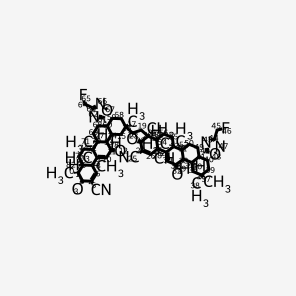 C[C@@H]1C(=O)C(C#N)=C[C@]2(C)C3=CC(=O)[C@@H]4[C@@H]5CC(C)(CCC6(C)C(=O)C(C#N)=C[C@]7(C)C8=CC(=O)[C@@H]9[C@@H]%10CC(C)(C)CC[C@]%10(c%10nc(CF)no%10)CC[C@@]9(C)[C@]8(C)CC[C@@H]67)CC[C@]5(c5nc(CF)no5)CC[C@@]4(C)[C@]3(C)CC[C@@H]12